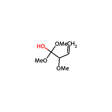 C=CC(OC)C(O)(OC)OC